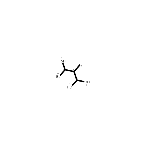 CCC(S)C(C)C(O)O